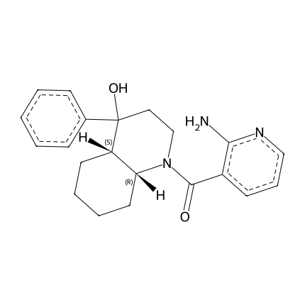 Nc1ncccc1C(=O)N1CCC(O)(c2ccccc2)[C@H]2CCCC[C@H]21